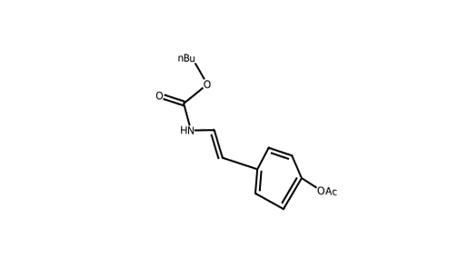 CCCCOC(=O)NC=Cc1ccc(OC(C)=O)cc1